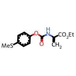 C=C(NC(=O)Oc1ccc(SC)cc1)C(=O)OCC